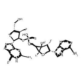 Nc1nc2c(nnn2[C@@H]2S[C@H](CO)[C@@H](F)[C@H]2OP(O)(=S)OC2[C@H]3O[C@@H](n4cnc5c(N)ncnc54)[C@@H](F)[C@@]23O)c(=O)[nH]1